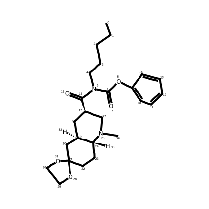 CCCCCN(C(=O)Oc1ccccc1)C(=O)[C@@H]1C[C@@H]2CC3(CC[C@H]2N(C)C1)OCCO3